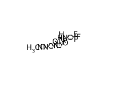 CN1CCN(c2ccc(N3CCC[C@@H](NC(=O)Nc4ccc(C(F)(F)F)cc4)C3=O)cc2)CC1